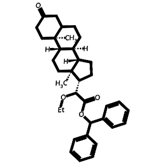 CCOC(C(=O)OC(c1ccccc1)c1ccccc1)[C@H]1CC[C@H]2[C@@H]3CCC4CC(=O)CC[C@]4(C)[C@H]3CC[C@]12C